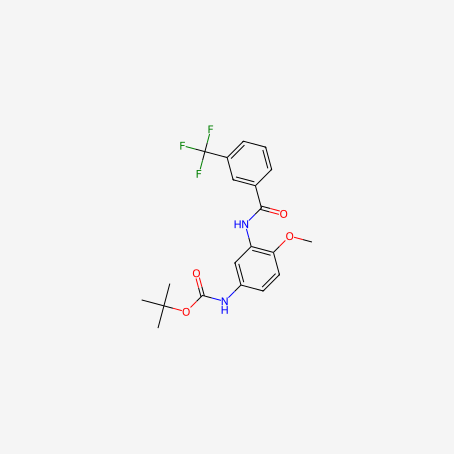 COc1ccc(NC(=O)OC(C)(C)C)cc1NC(=O)c1cccc(C(F)(F)F)c1